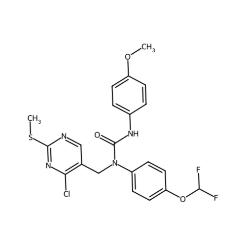 COc1ccc(NC(=O)N(Cc2cnc(SC)nc2Cl)c2ccc(OC(F)F)cc2)cc1